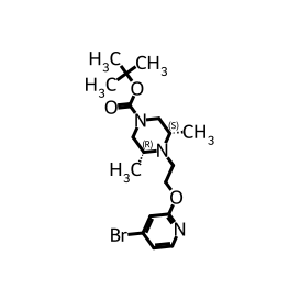 C[C@@H]1CN(C(=O)OC(C)(C)C)C[C@H](C)N1CCOc1cc(Br)ccn1